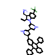 C=CC1C(CN)c2cc(C(F)(F)F)ccc2N1C1=CC(C2=CNCC(c3ccc4c(-c5ccccc5)c5ccccc5c(-c5ccccc5)c4c3)=C2)=CNC1